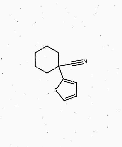 N#CC1(c2cccs2)CCCCC1